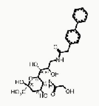 O=C(Cc1ccc(-c2ccccc2)cc1)NC[C@@H](O)[C@@H](O)[C@@H]1O[C@@](O)(C(=O)O)C[C@H](O)[C@H]1NC(=O)CO